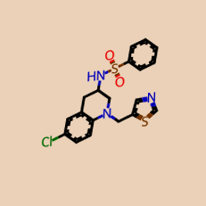 O=S(=O)(NC1Cc2cc(Cl)ccc2N(Cc2cncs2)C1)c1ccccc1